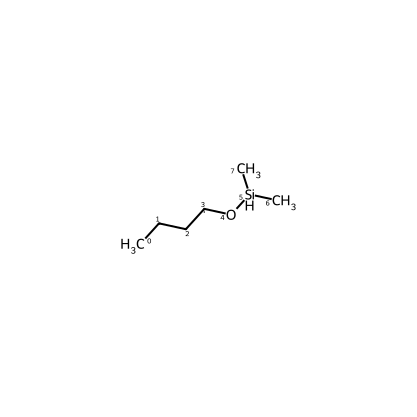 CCC[CH]O[SiH](C)C